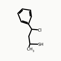 CC(S)CC(Cl)c1ccccc1